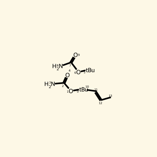 CC(C)(C)OC(N)=O.CC(C)(C)OC(N)=O.CC=CC